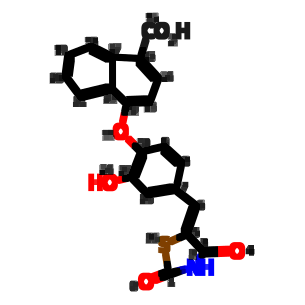 O=C1NC(=O)/C(=C/c2ccc(Oc3ccc(C(=O)O)c4ccccc34)c(O)c2)S1